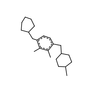 Cc1c(CC2CCCCC2)ccc(CC2CCC(C)CC2)c1C